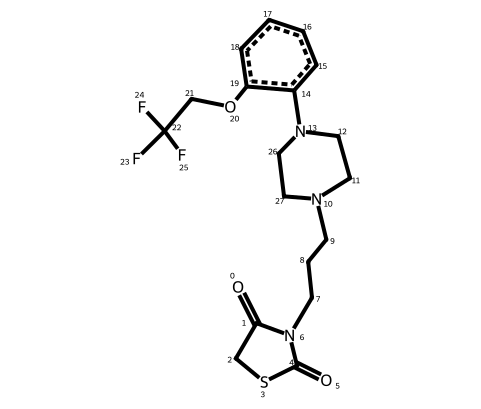 O=C1CSC(=O)N1CCCN1CCN(c2ccccc2OCC(F)(F)F)CC1